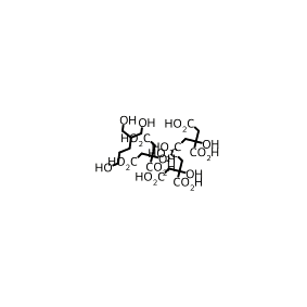 O=C(O)CC(O)(CC(=O)O)C(=O)O.O=C(O)CC(O)(CC(=O)O)C(=O)O.O=C(O)CC(O)(CC(=O)O)C(=O)O.OCCCC(CO)CO